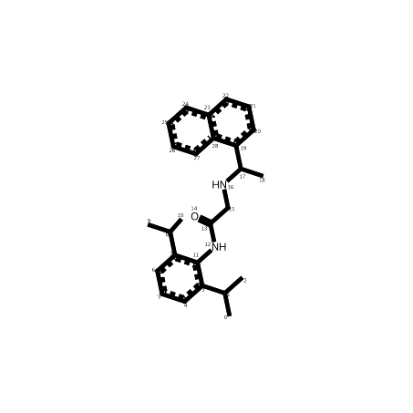 CC(C)c1cccc(C(C)C)c1NC(=O)CNC(C)c1cccc2ccccc12